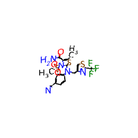 CC1=C(C(N)=O)N(S(C)(=O)=O)C(N(Cc2csc(C(F)(F)F)n2)c2ccc(C#N)cc2)S1